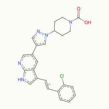 O=C(O)N1CCC(n2cc(-c3cnc4[nH]cc(/C=C/c5ccccc5Cl)c4c3)cn2)CC1